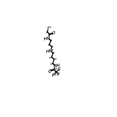 O=C(CF)NCCCNCCCCNC(=O)C(F)(F)F